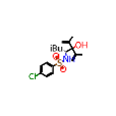 C=C(C)C(O)(C(=C)C)[C@@H](NS(=O)(=O)c1ccc(Cl)cc1)[C@@H](C)CC